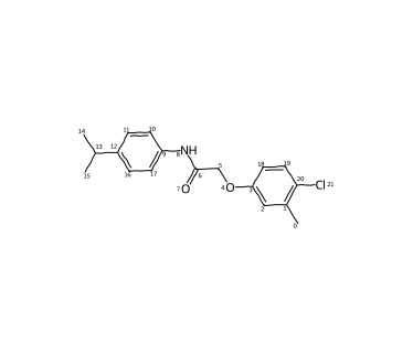 Cc1cc(OCC(=O)Nc2ccc(C(C)C)cc2)ccc1Cl